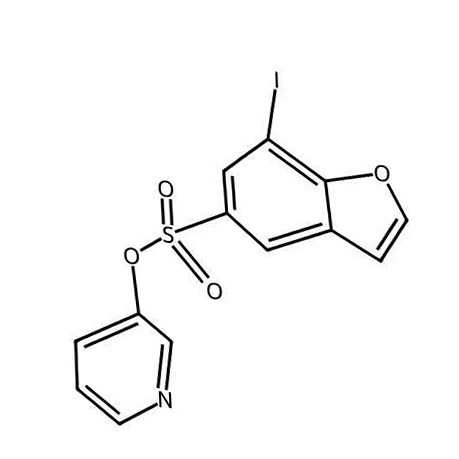 O=S(=O)(Oc1cccnc1)c1cc(I)c2occc2c1